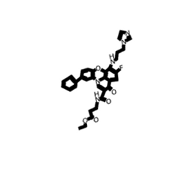 CCOC(=O)CCNC(=O)c1cn2c3c(c(NCCCn4ccnc4)c(F)cc3c1=O)Oc1ccc(-c3ccccc3)cc1-2